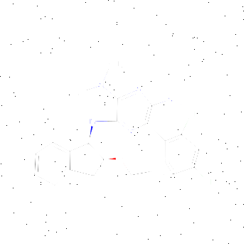 CCO[C@H]1Cc2ccccc2[C@H]1Nc1nc(-c2ccc(Cl)cc2Cl)c(N)nc1N(C)C